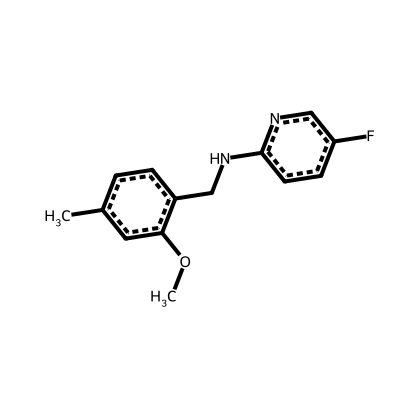 COc1cc(C)ccc1CNc1ccc(F)cn1